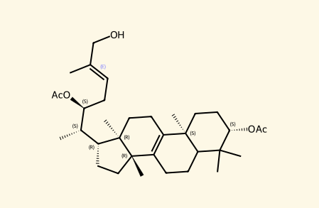 CC(=O)O[C@@H](C/C=C(\C)CO)[C@@H](C)[C@H]1CC[C@@]2(C)C3=C(CC[C@]12C)[C@@]1(C)CC[C@H](OC(C)=O)C(C)(C)C1CC3